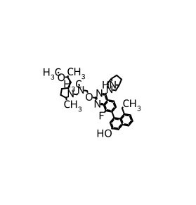 CCc1cccc2cc(O)cc(-c3ccc4c(N5CC6CCC(C5)N6)nc(OCN(C)CN5C(C)CCC5CC(C)OC)nc4c3F)c12